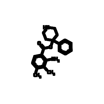 Cc1ccc(C(=O)OC2(c3ccccc3)CCNCC2)c(N)c1C